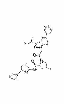 NC(=O)c1nn(CC(=O)N2CC(F)CC2C(=O)NC2=NC(n3ccnc3)CS2)c2ccc(-c3ccnnc3)cc12